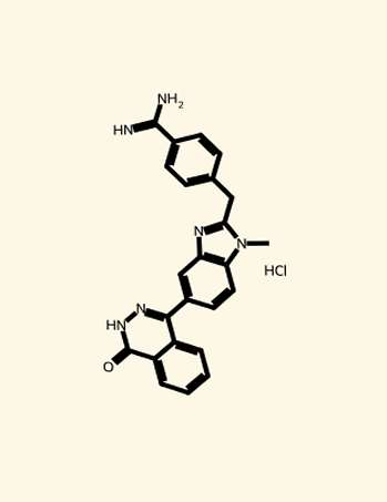 Cl.Cn1c(Cc2ccc(C(=N)N)cc2)nc2cc(-c3n[nH]c(=O)c4ccccc34)ccc21